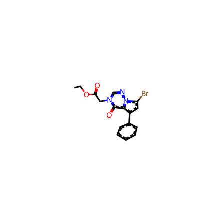 CCOC(=O)Cn1cnn2c(Br)cc(-c3ccccc3)c2c1=O